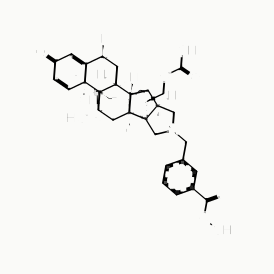 COC(=O)c1cccc(CN2C[C@@H]3C[C@H]4[C@@H]5C[C@H](F)C6=CC(=O)C=C[C@]6(C)[C@@]5(F)[C@@H](O)C[C@]4(C)[C@]3(C(=O)COC(C)=O)C2)c1